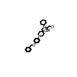 O=C(CCl)N(CC1(O)CCN(c2ccc(OCc3ccccc3)cc2)CC1)C1CCCCC1